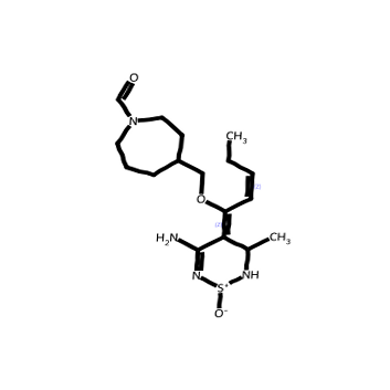 CC/C=C\C(OCC1CCCN(C=O)CC1)=C1\C(N)=N[S+]([O-])NC1C